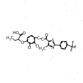 CCC(Oc1ccc(CCC(=O)c2sc(-c3ccc(C(F)(F)F)cc3)nc2C)c(Cl)c1Cl)C(=O)O